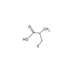 CC(C[S])C(=O)O